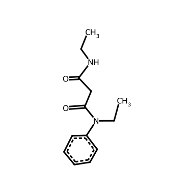 CCNC(=O)CC(=O)N(CC)c1ccccc1